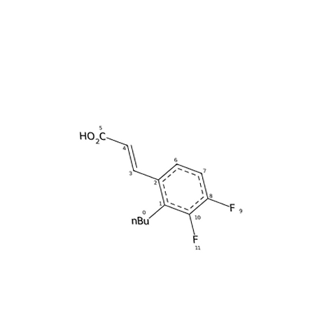 CCCCc1c(C=CC(=O)O)ccc(F)c1F